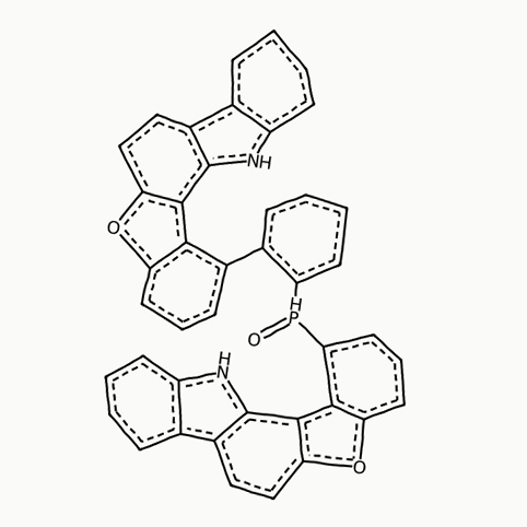 O=[PH](c1ccccc1-c1cccc2oc3ccc4c5ccccc5[nH]c4c3c12)c1cccc2oc3ccc4c5ccccc5[nH]c4c3c12